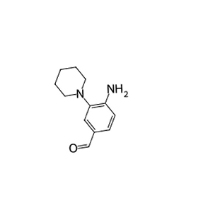 Nc1ccc(C=O)cc1N1CCCCC1